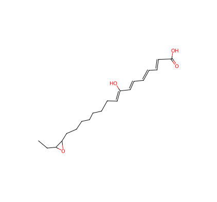 CCC1OC1CCCCCCCC=C(O)C=CC=CC=CC(=O)O